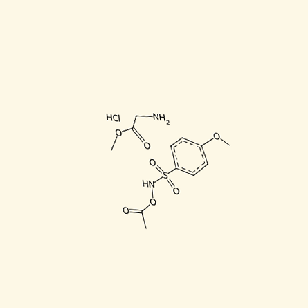 COC(=O)CN.COc1ccc(S(=O)(=O)NOC(C)=O)cc1.Cl